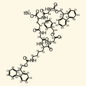 CC(C)(C)OC(=O)C(CCC(=O)NCC(=O)NC(CCCCNC(=O)OCC1c2ccccc2-c2ccccc21)C(=O)NCC(=O)OCc1ccccc1)NC(=O)CNC(=O)OCC1c2ccccc2-c2ccccc21